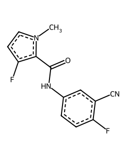 Cn1ccc(F)c1C(=O)Nc1ccc(F)c(C#N)c1